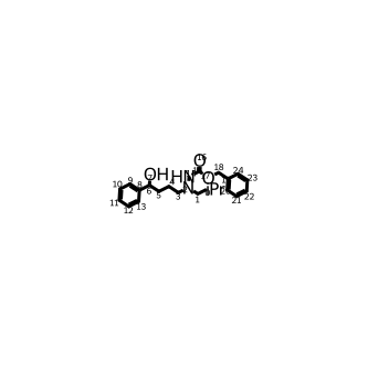 CC(C)CN(CCCC(O)c1ccccc1)NC(=O)OCc1ccccc1